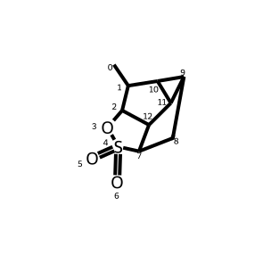 CC1C2OS(=O)(=O)C3CC4C1C4C23